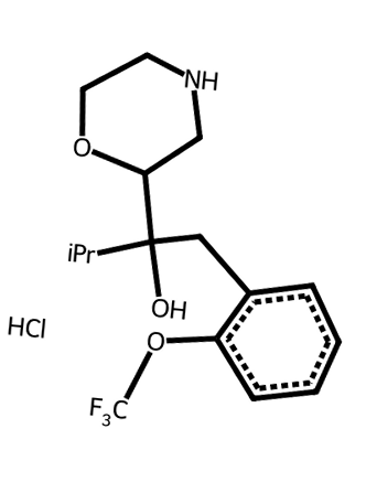 CC(C)C(O)(Cc1ccccc1OC(F)(F)F)C1CNCCO1.Cl